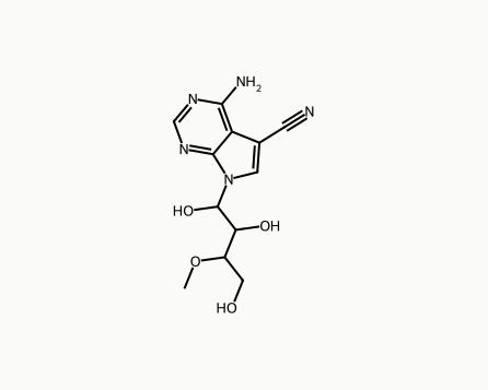 COC(CO)C(O)C(O)n1cc(C#N)c2c(N)ncnc21